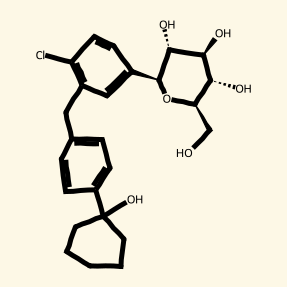 OC[C@H]1O[C@@H](c2ccc(Cl)c(Cc3ccc(C4(O)CCCCC4)cc3)c2)[C@H](O)[C@@H](O)[C@@H]1O